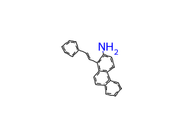 Nc1ccc2c(ccc3ccccc32)c1C=Cc1ccccc1